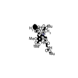 COc1c(C[C@H](NC(=O)/C(=N\OC(C)(C)C(=O)OC(C)(C)C)c2csc(NC(=O)CNC(=O)OC(C)(C)C)n2)B2OC3CC4CC(C4(C)C)C3(C)O2)cccc1C(=O)OC(C)(C)C